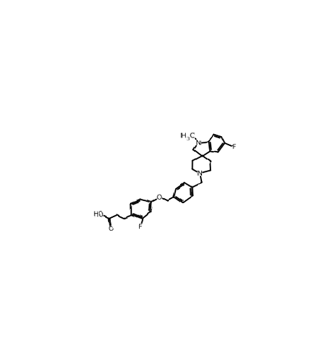 CN1CC2(CCN(Cc3ccc(COc4ccc(CCC(=O)O)c(F)c4)cc3)CC2)c2cc(F)ccc21